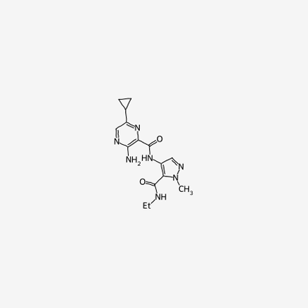 CCNC(=O)c1c(NC(=O)c2nc(C3CC3)cnc2N)cnn1C